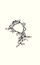 CCC1OC(O)(C(C)(O)C(=O)NC2C(=O)N3C(CCCN3COC(=O)C(C)(C)C)C(=O)N(O)CC(=O)N3NCCCC3C(=O)N3CCC(C)(O)C3C(=O)N(O)C(C(C)C)C(=O)OC2C(C)C)CCC1CC(C)C